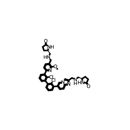 COc1nc(-c2cccc(-c3cccc(-c4ccc5nc(CNC[C@H]6CCC(=O)N6)cn5c4)c3Cl)c2Cl)ccc1CNC[C@H]1CCC(=O)N1